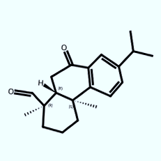 CC(C)c1ccc2c(c1)C(=O)C[C@H]1[C@](C)(C=O)CCC[C@]21C